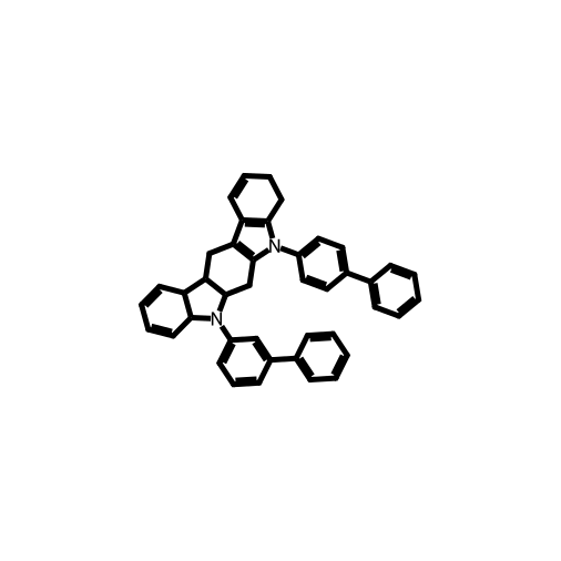 C1=CC2C3Cc4c5c(n(-c6ccc(-c7ccccc7)cc6)c4CC3N(c3cccc(-c4ccccc4)c3)C2C=C1)CCC=C5